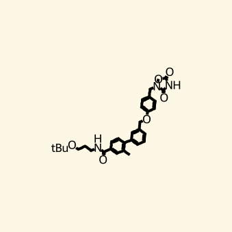 Cc1cc(C(=O)NCCCOC(C)(C)C)ccc1-c1cccc(COc2ccc(Cn3oc(=O)[nH]c3=O)cc2)c1